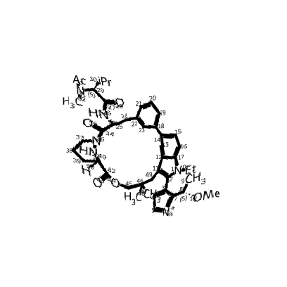 CCn1c(C2=CC=[N+]=C2[C@H](C)OC)c2c3cc(ccc31)-c1cccc(c1)C[C@H](NC(=O)[C@H](C(C)C)N(C)C(C)=O)C(=O)N1CCC[C@H](N1)C(=O)OCC(C)(C)C2